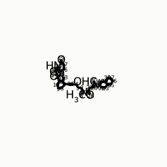 CN(CCCC#Cc1cccc2c1CN(C1CCC(=O)NC1=O)C2=O)C(=O)CCN(C=O)c1ccc2ccccc2c1